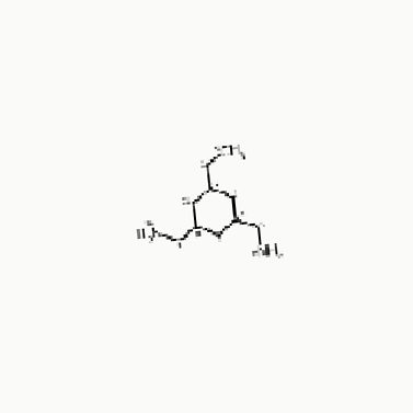 CCC1CC(CN)CC(CN)C1